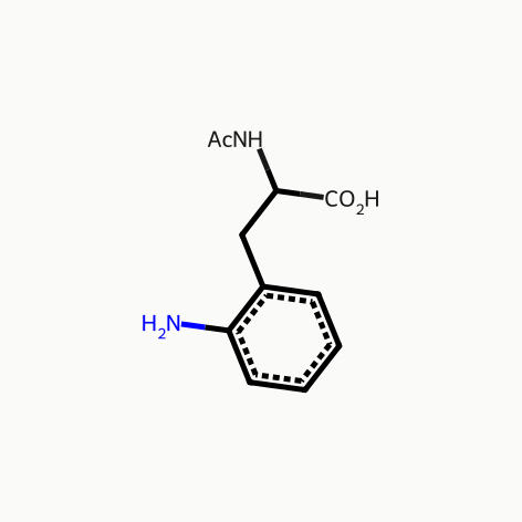 CC(=O)NC(Cc1ccccc1N)C(=O)O